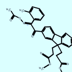 COC(=O)CCC1(CCC(=O)OC)c2ccccc2-c2ccc(C(=O)/C(=N/OC(C)=O)c3ccccc3C)cc21